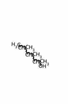 CC(C)=CCCC(C)=CCCC(C)=CCCC(C)=CCCC(C)=CCCC(C)CCO